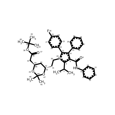 CC(C)c1c(C(=O)Nc2ccccc2)c(-c2ccccc2)c(-c2ccc(F)cc2)n1CC[C@H]1C[C@H](CC(=O)OC(C)(C)C)OC(C)(C)O1